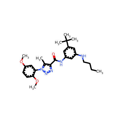 CCCCNc1cc(NC(=O)c2nnn(-c3cc(OC)ccc3OC)c2C)cc(C(C)(C)C)c1